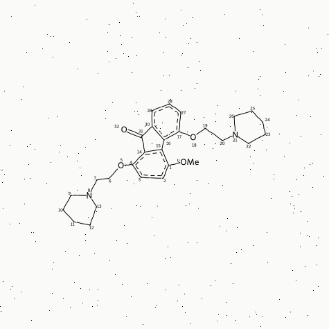 COc1ccc(OCCN2CCCCC2)c2c1-c1c(OCCN3CCCCC3)cccc1C2=O